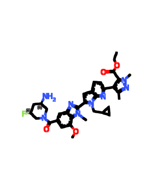 CCOC(=O)c1c(-c2ccc3cc(-c4nc5cc(C(=O)N6C[C@H](N)C[C@@H](F)C6)cc(OC)c5n4C)n(CC4CC4)c3n2)c(C)nn1C